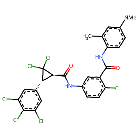 CNc1ccc(NC(=O)c2cc(NC(=O)[C@H]3[C@H](c4cc(Cl)c(Cl)c(Cl)c4)C3(Cl)Cl)ccc2Cl)c(C)c1